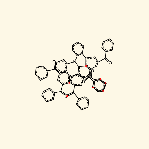 O=C(c1ccccc1)c1cc(C(=O)c2ccccc2)cc(-c2ccccc2N(c2ccccc2-c2cc(C(=O)c3ccccc3)cc(C(=O)c3ccccc3)c2)c2ccccc2-c2cc(C(=O)c3ccccc3)cc(C(=O)c3ccccc3)c2)c1